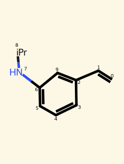 C=Cc1cccc(NC(C)C)c1